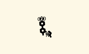 Cc1ccn(-c2cc(-c3ccc(S(C)(=O)=O)cc3)ccc2C)n1